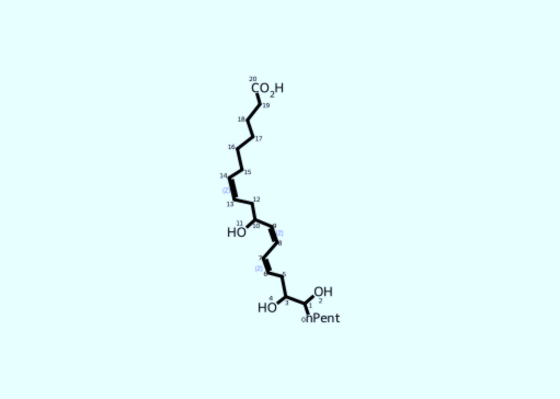 CCCCCC(O)C(O)C/C=C\C=C/C(O)C/C=C\CCCCCC(=O)O